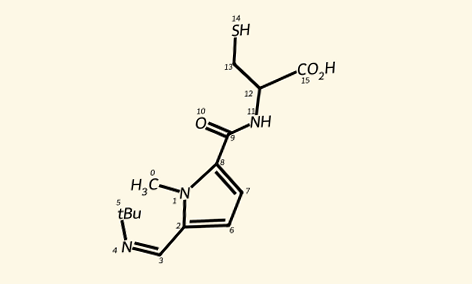 Cn1c(/C=N\C(C)(C)C)ccc1C(=O)NC(CS)C(=O)O